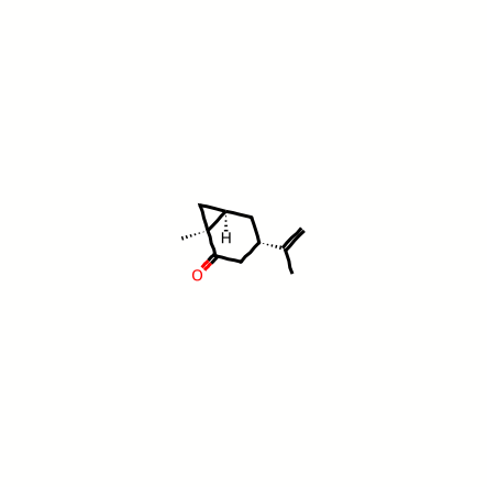 C=C(C)[C@@H]1CC(=O)[C@@]2(C)C[C@H]2C1